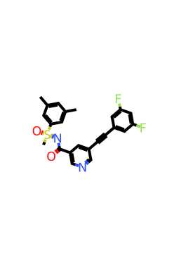 Cc1cc(C)cc(S(C)(=O)=NC(=O)c2cncc(C#Cc3cc(F)cc(F)c3)c2)c1